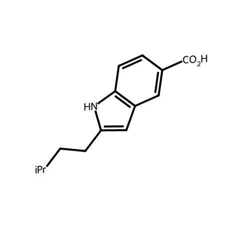 CC(C)CCc1cc2cc(C(=O)O)ccc2[nH]1